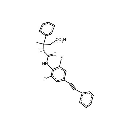 CC(CC(=O)O)(NC(=O)Nc1c(F)cc(C#Cc2ccccc2)cc1F)c1ccccc1